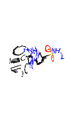 N#Cc1c(C(F)(F)F)nn(-c2ccc(S(N)(=O)=O)cn2)c1NN1CCCCCC1